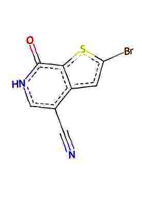 N#Cc1c[nH]c(=O)c2sc(Br)cc12